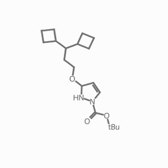 CC(C)(C)OC(=O)N1C=CC(OCCC(C2CCC2)C2CCC2)N1